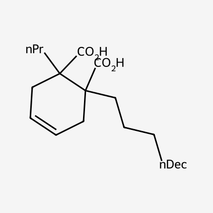 CCCCCCCCCCCCCC1(C(=O)O)CC=CCC1(CCC)C(=O)O